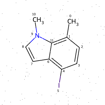 Cc1ccc(I)c2ccn(C)c12